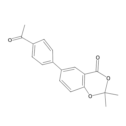 CC(=O)c1ccc(-c2ccc3c(c2)C(=O)OC(C)(C)O3)cc1